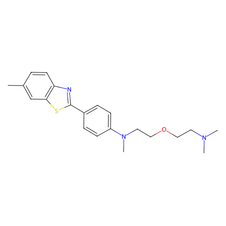 Cc1ccc2nc(-c3ccc(N(C)CCOCCN(C)C)cc3)sc2c1